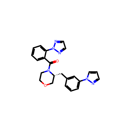 O=C(c1ccccc1-n1nccn1)N1CCOC[C@H]1Cc1cccc(-n2cccn2)c1